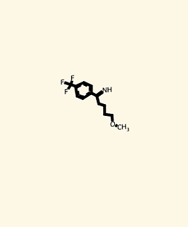 COCCCCC(=N)c1ccc(C(F)(F)F)cc1